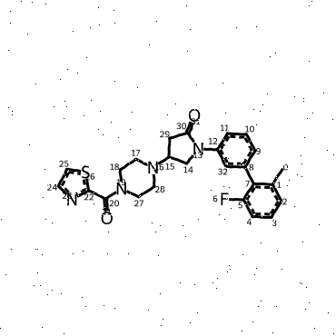 Cc1cccc(F)c1-c1cccc(N2CC(N3CCN(C(=O)c4nccs4)CC3)CC2=O)c1